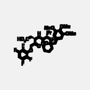 COc1cc(CC2(N[C@H](C(=O)N[C@@H](CC(=O)O)C(=O)COc3c(F)c(F)cc(F)c3F)C(C)C)CCCCO2)cc(OC)c1OC